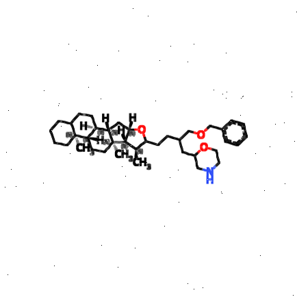 C[C@@H]1C(CCC(COCc2ccccc2)CC2CNCCO2)O[C@H]2C[C@H]3[C@@H]4CCC5CCCC[C@]5(C)[C@H]4CC[C@]3(C)[C@H]21